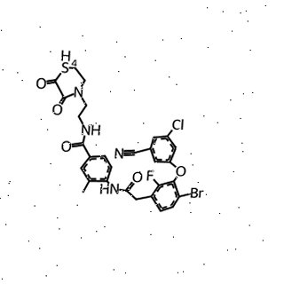 Cc1cc(C(=O)NCCN2CC[SH4]C(=O)C2=O)ccc1NC(=O)Cc1ccc(Br)c(Oc2cc(Cl)cc(C#N)c2)c1F